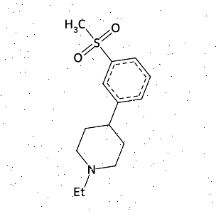 CCN1CCC(c2cccc(S(C)(=O)=O)c2)CC1